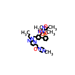 CCCc1nc2ccc(CC(=O)N3CCN(C)CC3)nc2n1Cc1ccc(-c2ccccc2S(=O)(=O)Nc2noc(C)c2C)c(COCC)c1